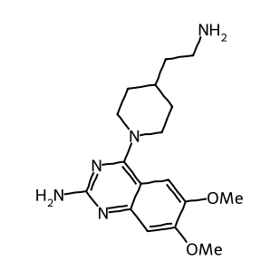 COc1cc2nc(N)nc(N3CCC(CCN)CC3)c2cc1OC